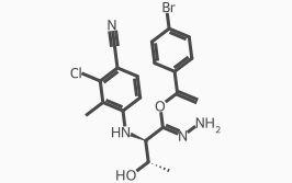 C=C(O/C(=N\N)[C@H](Nc1ccc(C#N)c(Cl)c1C)[C@H](C)O)c1ccc(Br)cc1